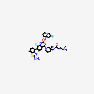 CN(C)C/C=C/C(=O)N1CC2(CCCN(c3nc(OC[C@@]45CCCN4C[C@H](F)C5)nc4c(F)c(-c5ccc(F)c6sc(N)nc56)c(Cl)cc34)C2)C1